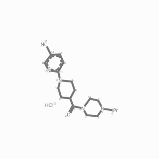 CC(C)N1CCN(C(=O)C2CCN(c3ccc(C#N)cn3)CC2)CC1.Cl